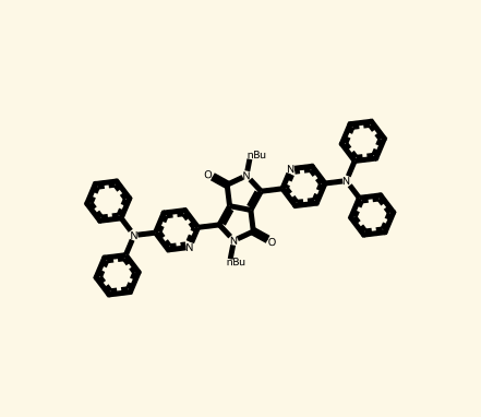 CCCCN1C(=O)C2=C(c3ccc(N(c4ccccc4)c4ccccc4)cn3)N(CCCC)C(=O)C2=C1c1ccc(N(c2ccccc2)c2ccccc2)cn1